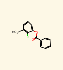 O=C(Oc1cccc(S(=O)(=O)O)c1Cl)c1ccccc1